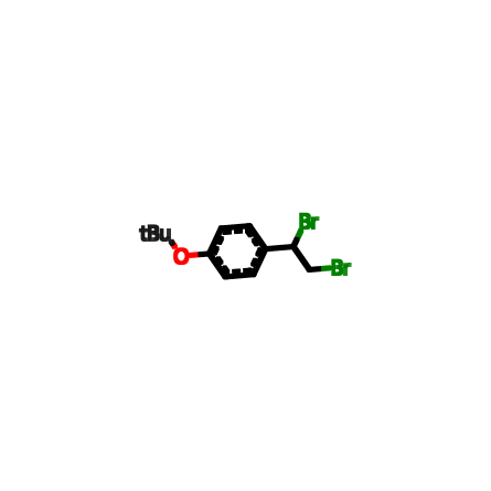 CC(C)(C)Oc1ccc(C(Br)CBr)cc1